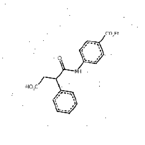 CCOC(=O)c1ccc(NC(=O)C(CC(=O)O)c2ccccc2)cc1